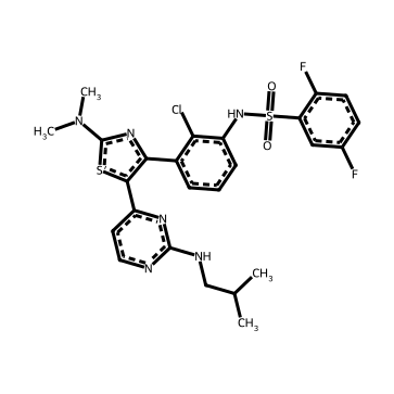 CC(C)CNc1nccc(-c2sc(N(C)C)nc2-c2cccc(NS(=O)(=O)c3cc(F)ccc3F)c2Cl)n1